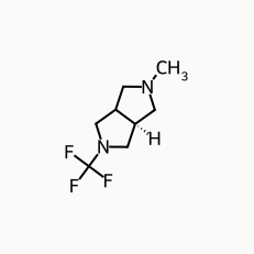 CN1CC2CN(C(F)(F)F)C[C@@H]2C1